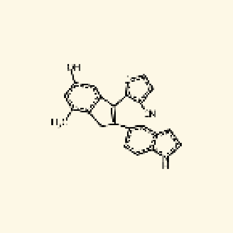 Cc1cc(O)cc2c1CC(c1ccc3[nH]ccc3c1)=C2c1occc1C#N